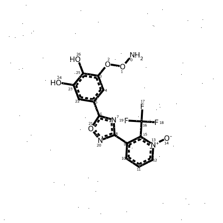 NOOc1cc(-c2nc(-c3ccc[n+]([O-])c3C(F)(F)F)no2)cc(O)c1O